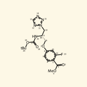 COC(=O)c1ccc(OC[C@@H](Cn2ncnn2)NC(=O)OC(C)(C)C)cc1F